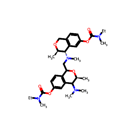 CCN(C)C(=O)Oc1ccc2c(c1)C(N(C)C)[C@H](C)OC2CN(C)[C@H]1c2cc(OC(=O)N(C)CC)ccc2CO[C@@H]1C